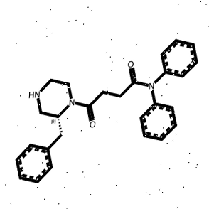 O=C(CCC(=O)N1CCNC[C@H]1Cc1ccccc1)N(c1ccccc1)c1ccccc1